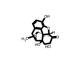 CN1CC[C@]23c4c5ccc(O)c4O[C@@H]2C(=O)CCC3(O)C1C5.Cl